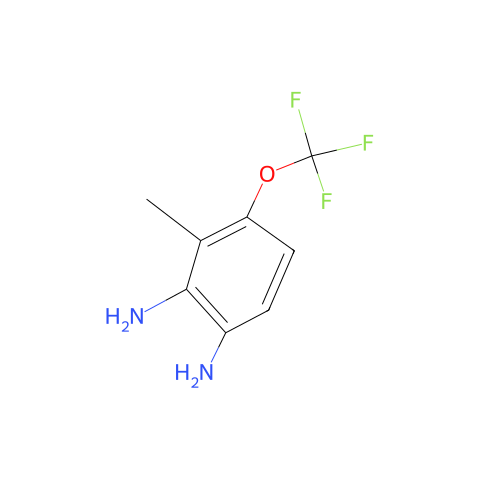 Cc1c(OC(F)(F)F)ccc(N)c1N